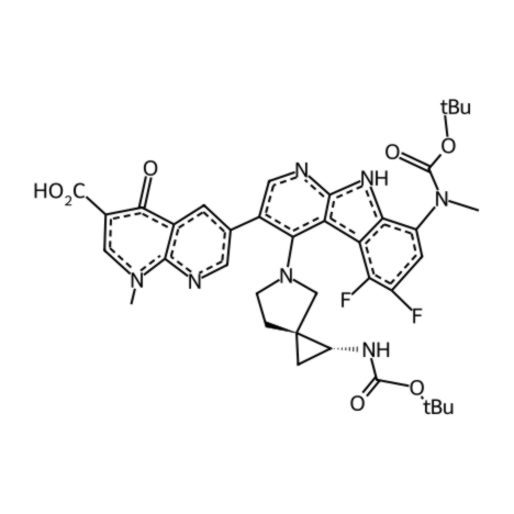 CN(C(=O)OC(C)(C)C)c1cc(F)c(F)c2c1[nH]c1ncc(-c3cnc4c(c3)c(=O)c(C(=O)O)cn4C)c(N3CC[C@@]4(C[C@H]4NC(=O)OC(C)(C)C)C3)c12